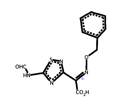 O=CNc1nc(/C(=N\OCc2ccccc2)C(=O)O)ns1